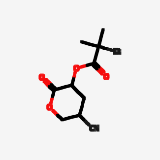 CCC(C)(C)C(=O)OC1CC(C#N)COC1=O